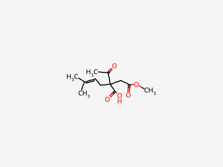 COC(=O)CC(CC=C(C)C)(C(C)=O)C(=O)O